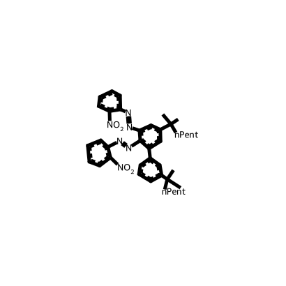 CCCCCC(C)(C)c1cccc(-c2cc(C(C)(C)CCCCC)cc(N=Nc3ccccc3[N+](=O)[O-])c2N=Nc2ccccc2[N+](=O)[O-])c1